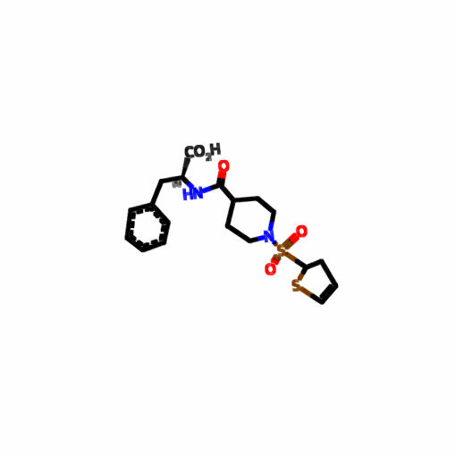 O=C(N[C@@H](Cc1ccccc1)C(=O)O)C1CCN(S(=O)(=O)C2CC=CS2)CC1